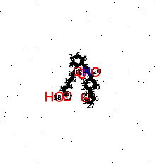 CON(Cc1ccccc1OCCCCCC(=O)O)C(=O)c1ccc(-c2ccco2)cc1